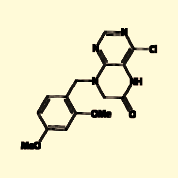 COc1ccc(CN2CC(=O)Nc3c(Cl)ncnc32)c(OC)c1